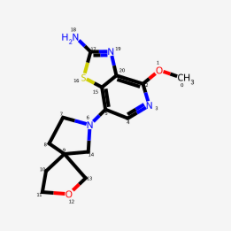 COc1ncc(N2CCC3(CCOC3)C2)c2sc(N)nc12